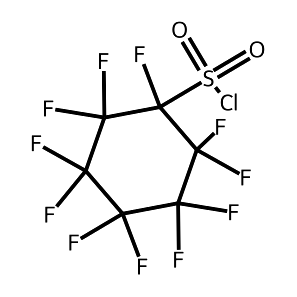 O=S(=O)(Cl)C1(F)C(F)(F)C(F)(F)C(F)(F)C(F)(F)C1(F)F